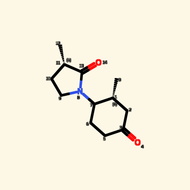 C[C@@H]1CC(=O)CCC1N1CC[C@H](C)C1=O